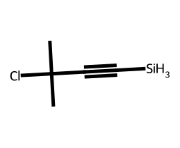 CC(C)(Cl)C#C[SiH3]